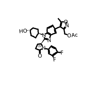 CC(=O)OCc1noc(C)c1-c1ccc2c(c1)nc([C@@H]1CCC(=O)N1c1ccc(F)c(F)c1)n2[C@H]1CC[C@H](O)CC1